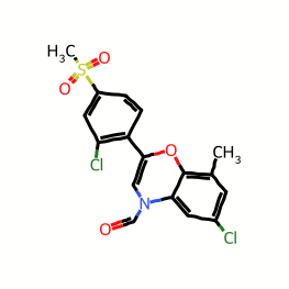 Cc1cc(Cl)cc2c1OC(c1ccc(S(C)(=O)=O)cc1Cl)=CN2C=O